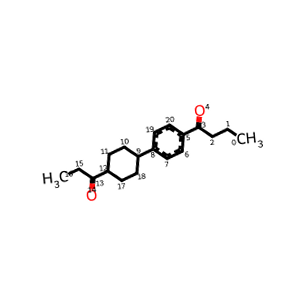 CCCC(=O)c1ccc(C2CCC(C(=O)CC)CC2)cc1